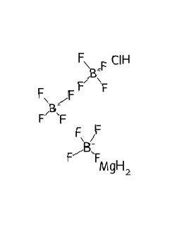 Cl.F[B-](F)(F)F.F[B-](F)(F)F.F[B-](F)(F)F.[MgH2]